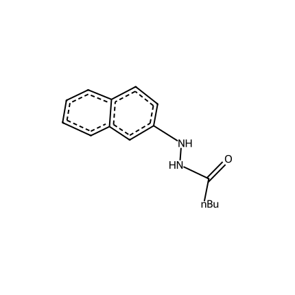 CCCCC(=O)NNc1ccc2ccccc2c1